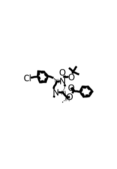 C[C@@H](OC(=O)c1ccccc1)[C@H]1CN(C(=O)OC(C)(C)C)[C@@H](Cc2ccc(Cl)cc2)CN1C